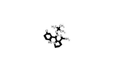 CC(C)(C)ON=C(c1cc(Cl)ccc1O)c1ncccc1C(N)=O